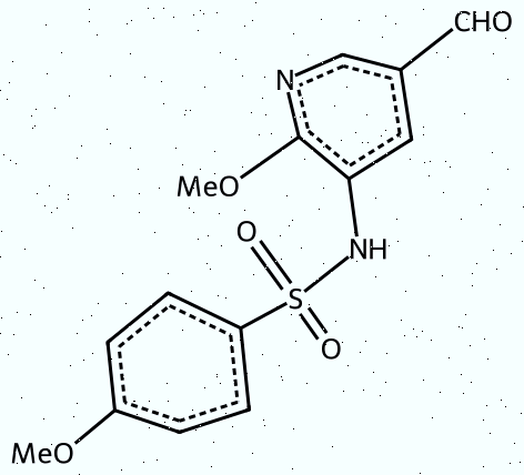 COc1ccc(S(=O)(=O)Nc2cc(C=O)cnc2OC)cc1